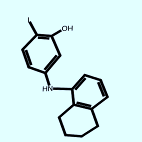 Oc1cc(Nc2cccc3c2CCCC3)ccc1I